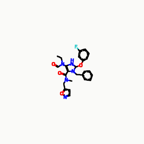 CCN(C=O)C1=C(C(=O)N(C)Cc2ccno2)N(Cc2ccccc2)C(Oc2cccc(F)c2)N1